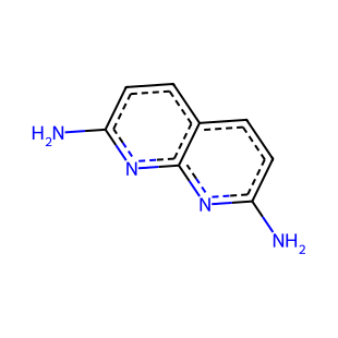 Nc1ccc2ccc(N)nc2n1